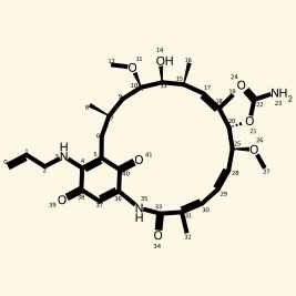 C=CCNC1=C2C[C@@H](C)C[C@@H](OC)[C@@H](O)[C@@H](C)C=C(C)[C@H](OC(N)=O)[C@@H](OC)C=CC=C(C)C(=O)NC(=CC1=O)C2=O